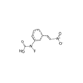 O=C(O)N(F)c1cccc(C=C[N+](=O)[O-])c1